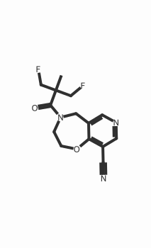 CC(CF)(CF)C(=O)N1CCOc2c(C#N)cncc2C1